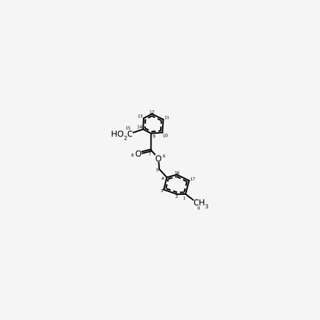 Cc1ccc(COC(=O)c2ccccc2C(=O)O)cc1